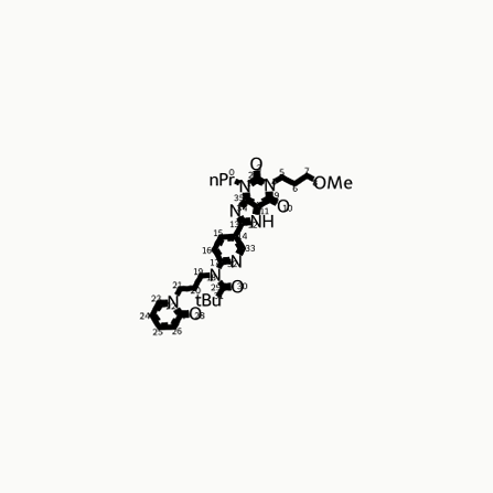 CCCn1c(=O)n(CCCOC)c(=O)c2[nH]c(-c3ccc(N(CCCn4ccccc4=O)C(=O)C(C)(C)C)nc3)nc21